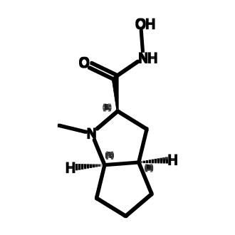 CN1[C@@H](C(=O)NO)C[C@H]2CCC[C@H]21